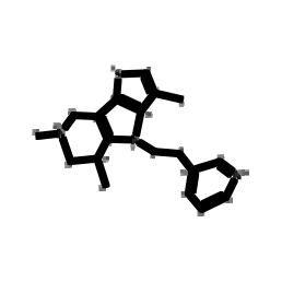 Cc1csc2c3c(n(CCc4cccnc4)c12)C(C)CN(C)C3